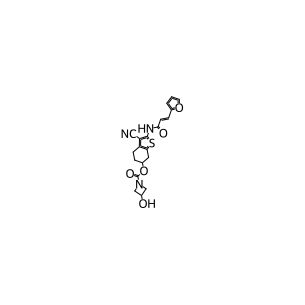 N#Cc1c(NC(=O)C=Cc2ccco2)sc2c1CCC(OC(=O)N1CC(O)C1)C2